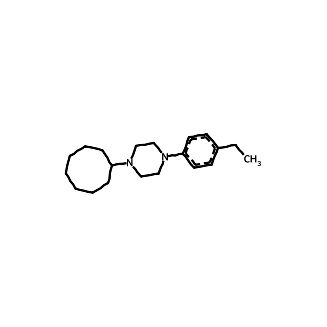 CCc1ccc(N2CCN(C3CCCCCCC3)CC2)cc1